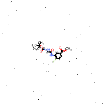 COC(=O)c1ccc(F)c(NC(=O)CNC(=O)OC(C)(C)C)c1